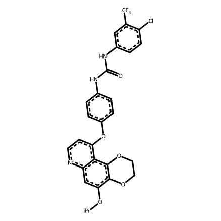 CC(C)Oc1cc2nccc(Oc3ccc(NC(=O)Nc4ccc(Cl)c(C(F)(F)F)c4)cc3)c2c2c1OCCO2